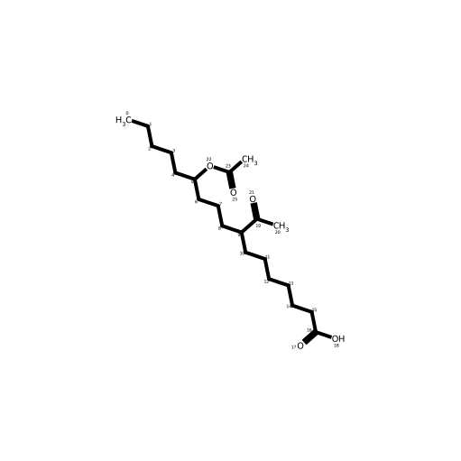 CCCCCC(CCCC(CCCCCCC(=O)O)C(C)=O)OC(C)=O